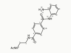 CC(=O)NCCNC(=O)c1ccc(C(=O)Nc2ccccc2N)nc1